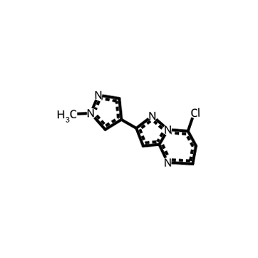 Cn1cc(-c2cc3nccc(Cl)n3n2)cn1